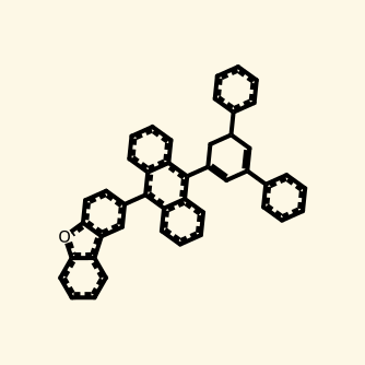 C1=C(c2ccccc2)C=C(c2c3ccccc3c(-c3ccc4oc5ccccc5c4c3)c3ccccc23)CC1c1ccccc1